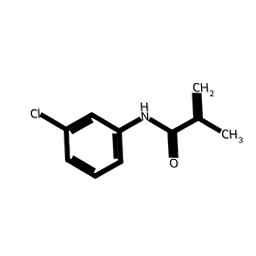 C=C(C)C(=O)Nc1cccc(Cl)c1